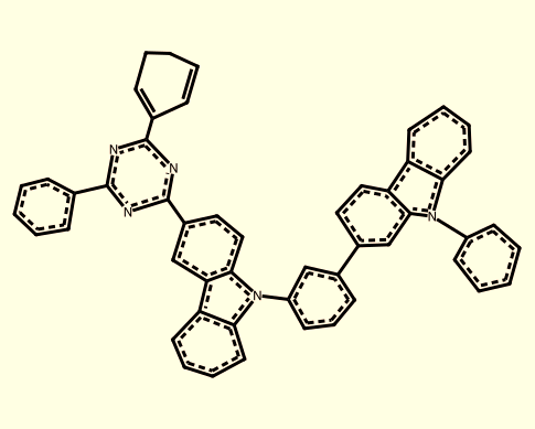 C1=CC(c2nc(-c3ccccc3)nc(-c3ccc4c(c3)c3ccccc3n4-c3cccc(-c4ccc5c6ccccc6n(-c6ccccc6)c5c4)c3)n2)=CCC1